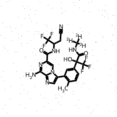 [2H]C([2H])([2H])NC(=O)C(O)(c1ccc(C)c(-c2cnc3c(N)nc(C(=O)NC(CC#N)C(F)(F)F)cn23)c1)C(F)(F)F